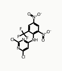 O=[N+]([O-])c1cc([N+](=O)[O-])c(Nc2cc(Cl)nc(Cl)n2)c(C(F)(F)F)c1